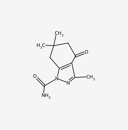 Cc1nn(C(N)=O)c2c1C(=O)CC(C)(C)C2